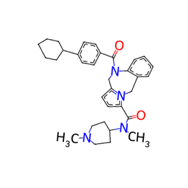 CN1CCC(N(C)C(=O)c2ccc3n2Cc2ccccc2N(C(=O)c2ccc(C4CCCCC4)cc2)C3)CC1